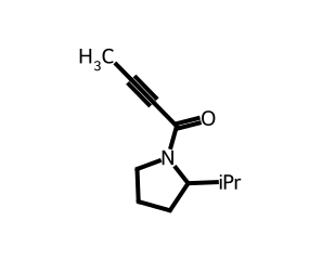 CC#CC(=O)N1CCCC1C(C)C